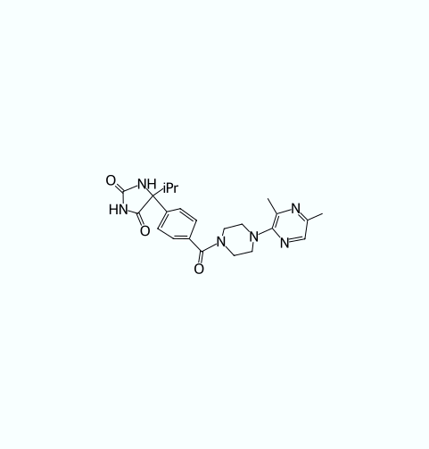 Cc1cnc(N2CCN(C(=O)c3ccc(C4(C(C)C)NC(=O)NC4=O)cc3)CC2)c(C)n1